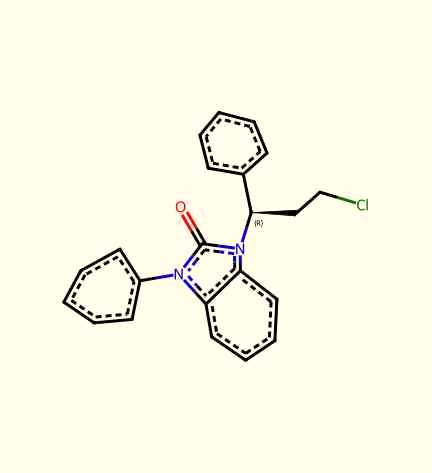 O=c1n(-c2ccccc2)c2ccccc2n1[C@H](CCCl)c1ccccc1